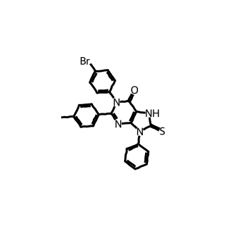 Cc1ccc(-c2nc3c([nH]c(=S)n3-c3ccccc3)c(=O)n2-c2ccc(Br)cc2)cc1